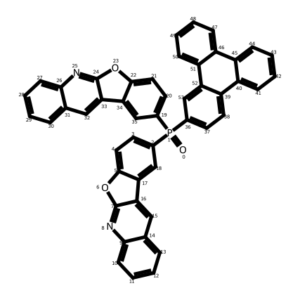 O=P(c1ccc2oc3nc4ccccc4cc3c2c1)(c1ccc2oc3nc4ccccc4cc3c2c1)c1ccc2c3ccccc3c3ccccc3c2c1